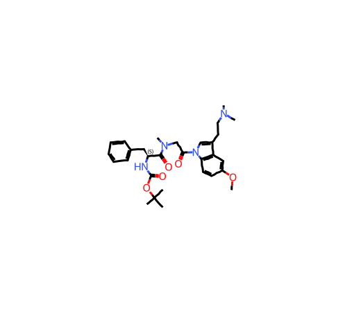 COc1ccc2c(c1)c(CCN(C)C)cn2C(=O)CN(C)C(=O)[C@H](Cc1ccccc1)NC(=O)OC(C)(C)C